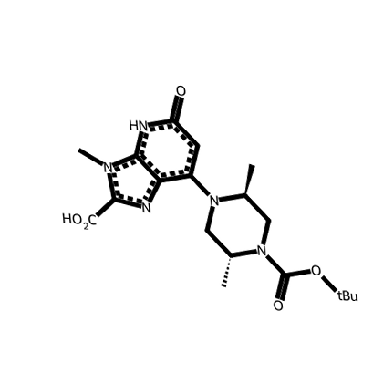 C[C@@H]1CN(c2cc(=O)[nH]c3c2nc(C(=O)O)n3C)[C@@H](C)CN1C(=O)OC(C)(C)C